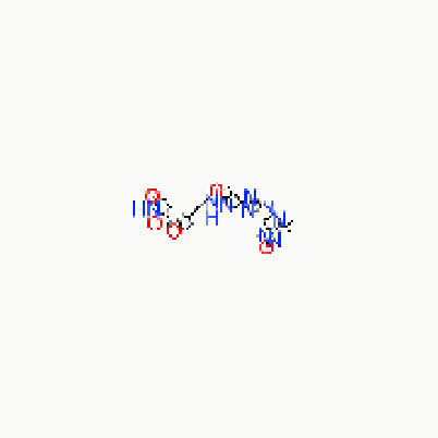 Cc1cc(-c2ncc(N(C)c3cc4c(c(C(C)C)n3)n(C)c(=O)n4C)cn2)cnc1C(=O)NCC#Cc1ccc2occ(C3CCC(=O)NC3=O)c2c1